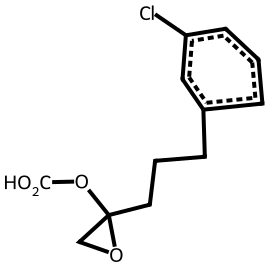 O=C(O)OC1(CCCc2cccc(Cl)c2)CO1